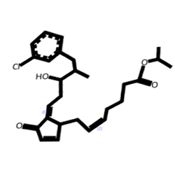 CC(C)OC(=O)CCC/C=C\CC1C=CC(=O)/C1=C/CC(O)C(C)Cc1cccc(Cl)c1